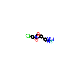 O=C(c1ccc(Cl)cc1)N1CCOc2ccc(-c3ccc4nc(CF)[nH]c4c3)cc2C1